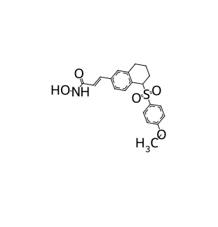 COc1ccc(S(=O)(=O)C2CCCc3cc(/C=C/C(=O)NO)ccc32)cc1